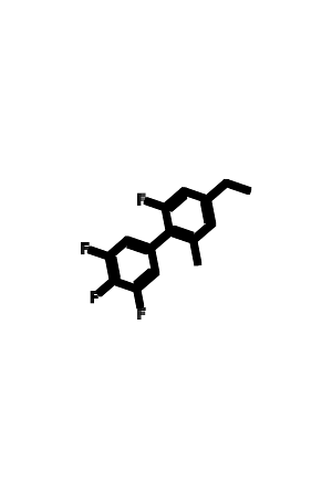 CCc1cc(C)c(-c2cc(F)c(F)c(F)c2)c(F)c1